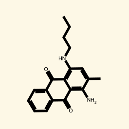 CCCCNc1cc(C)c(N)c2c1C(=O)c1ccccc1C2=O